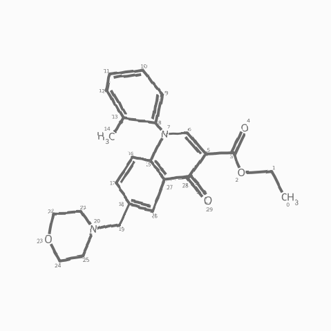 CCOC(=O)c1cn(-c2ccccc2C)c2ccc(CN3CCOCC3)cc2c1=O